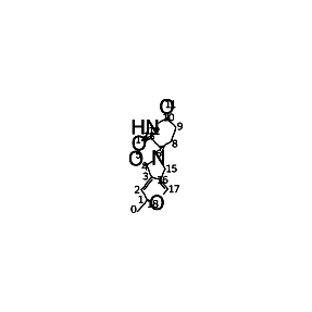 CC1C=C2C(=O)N(C3CCC(=O)NC3=O)CC2=CO1